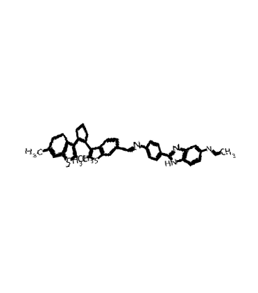 CC=Nc1ccc2[nH]c(-c3ccc(/N=C/c4ccc5c(C6=C(c7c(C)sc8cc(C)ccc78)CCC6)c(C)sc5c4)cc3)nc2c1